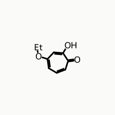 CCOc1cccc(=O)c(O)c1